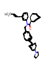 O=C(O)C=Cc1cccc(N(Cc2ccc(-c3ccc(N4CCCC4)cc3)cc2)C(=O)C2CCCCC2)c1